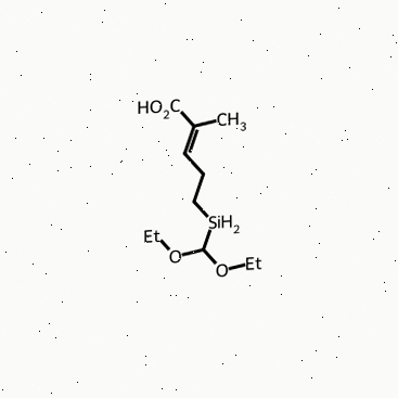 CCOC(OCC)[SiH2]CCC=C(C)C(=O)O